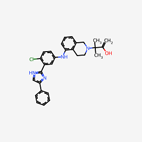 C=C(O)C(C)(C)N1CCc2c(cccc2Nc2ccc(Cl)c(-c3nc(-c4ccccc4)c[nH]3)c2)C1